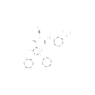 N#CC(C(=O)Nc1cccc(C(F)(F)F)c1)C(=O)c1nn(-c2ccccc2)c2c1COc1ccccc1-2